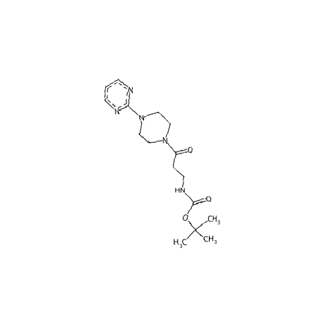 CC(C)(C)OC(=O)NCCC(=O)N1CCN(c2ncccn2)CC1